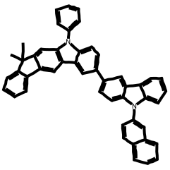 CC1(C)c2ccccc2-c2cc3c4cc(-c5ccc6c(c5)c5ccccc5n6-c5ccc6ccccc6c5)ccc4n(-c4ccccc4)c3cc21